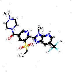 CCS(=O)(=O)c1cc(C(=O)N2CCN(C)CC2)cnc1-c1nc2cc(C(F)(F)F)cnc2n1C